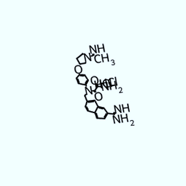 CC(=N)N1CCC(Oc2ccc(N(Cc3ccc4ccc(C(=N)N)cc4c3)C(=O)C(N)=O)cc2)C1.Cl.Cl